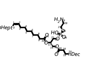 CCCCCCC/C=C\CCCCCCCC(=O)O[C@H](COC(=O)CCCCCCCCCCCC)COP(=O)(O)OCCN